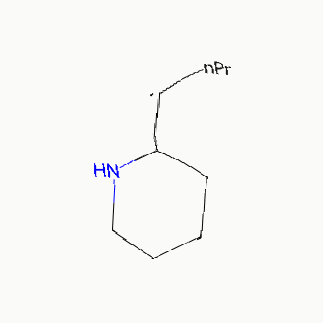 CCC[CH]C1CCCCN1